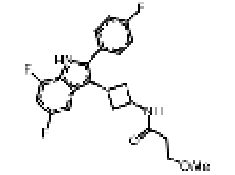 COCCC(=O)N[C@H]1C[C@@H](c2c(-c3ccc(F)cc3)[nH]c3c(F)cc(F)cc32)C1